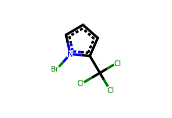 ClC(Cl)(Cl)c1cccn1Br